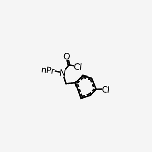 CCCN(Cc1ccc(Cl)cc1)C(=O)Cl